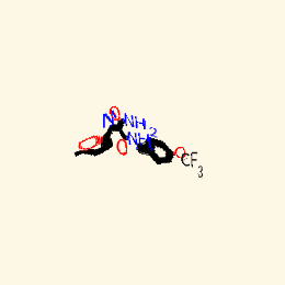 Cc1ccc(-c2noc(N)c2C(=O)NCc2ccc(OC(F)(F)F)cc2)o1